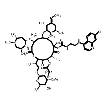 CO/N=C1\C[C@@H](C)O[C@@H](O[C@@H]2[C@@H](C)[C@H](O[C@H]3C[C@@H](C)N(C)C[C@H](C)O3)[C@@H](C)C(=O)OC([C@@H](C)CO[C@@H]3O[C@H](C)[C@@H](O)[C@@H](OC)[C@H]3OC)[C@H](C)[C@@H](OC(=O)CC(C)C)[C@@H](C)C(=O)[C@@](C)(OC(=O)NCCNc3ccnc4cc(Cl)ccc34)C[C@@H]2C)[C@@H]1O